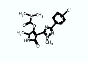 CC1NC(=O)C(c2nc(-c3ccc(Cl)cc3)nn2C)=C1OC(=O)N(C)C